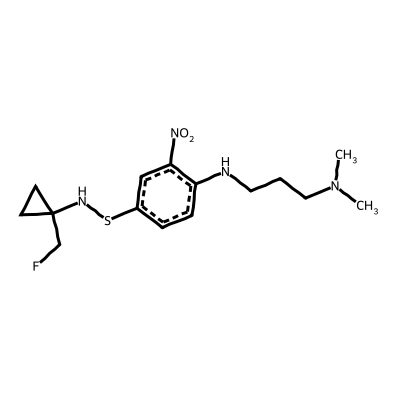 CN(C)CCCNc1ccc(SNC2(CF)CC2)cc1[N+](=O)[O-]